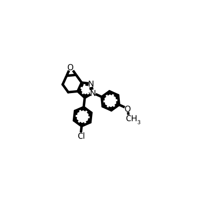 COc1ccc(-n2nc3c(c2-c2ccc(Cl)cc2)CCC2OC32)cc1